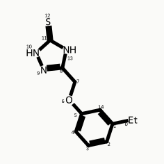 CCc1cccc(OCc2n[nH]c(=S)[nH]2)c1